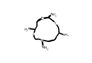 NC1CCC(N)CCN(N)CCC(N)CC1